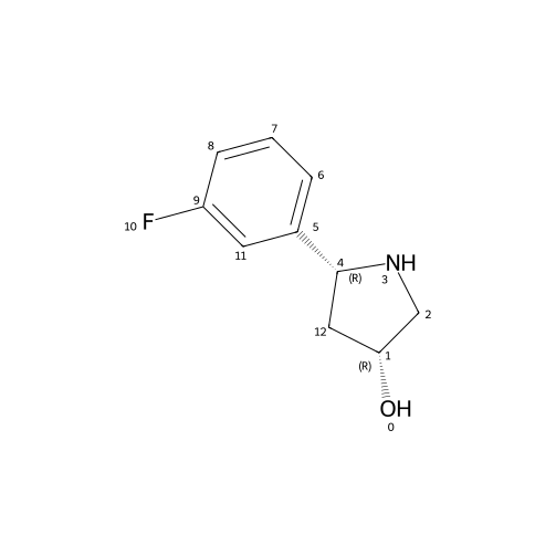 O[C@H]1CN[C@@H](c2cccc(F)c2)C1